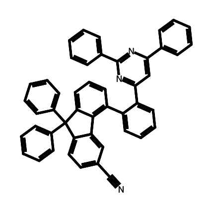 N#Cc1ccc2c(c1)-c1c(-c3ccccc3-c3cc(-c4ccccc4)nc(-c4ccccc4)n3)cccc1C2(c1ccccc1)c1ccccc1